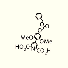 COc1cc(OCC(=O)OCc2ccccc2)cc(OC)c1-c1cc(C(=O)O)nc(C(=O)O)c1